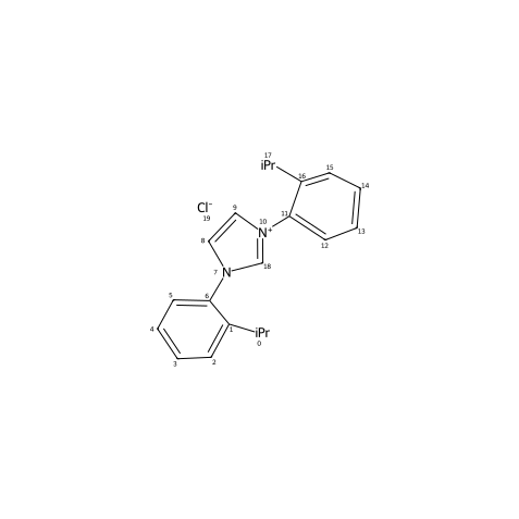 CC(C)c1ccccc1-n1cc[n+](-c2ccccc2C(C)C)c1.[Cl-]